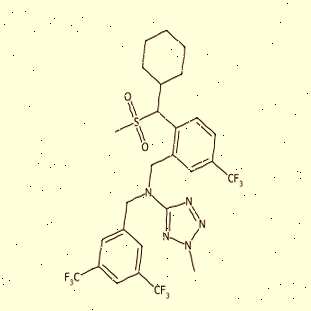 Cn1nnc(N(Cc2cc(C(F)(F)F)cc(C(F)(F)F)c2)Cc2cc(C(F)(F)F)ccc2C(C2CCCCC2)S(C)(=O)=O)n1